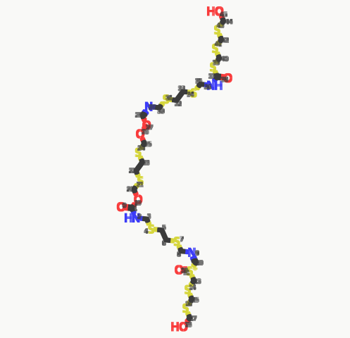 O=C(NCSCCSC/N=C\[S+]([O-])CSCSCO)OCSCCSCOO/C=N\CSCCSCNC(=O)SCSCSCO